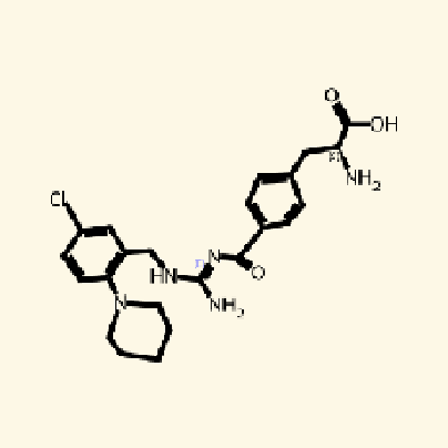 N/C(=N\C(=O)c1ccc(C[C@H](N)C(=O)O)cc1)NCc1cc(Cl)ccc1N1CCCCC1